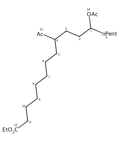 CCCCCC(CCC(CCCCCCCC(=O)OCC)C(C)=O)OC(C)=O